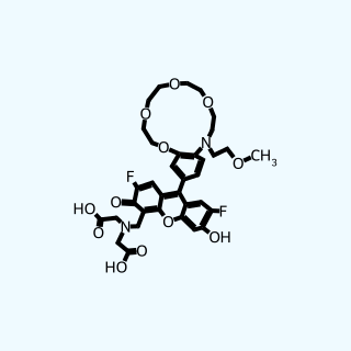 COCCN1CCOCCOCCOCCOc2cc(-c3c4cc(F)c(=O)c(CN(CC(=O)O)CC(=O)O)c-4oc4cc(O)c(F)cc34)ccc21